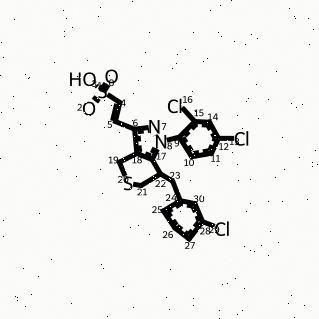 O=S(=O)(O)/C=C/c1nn(-c2ccc(Cl)cc2Cl)c2c1CSCC2Cc1cccc(Cl)c1